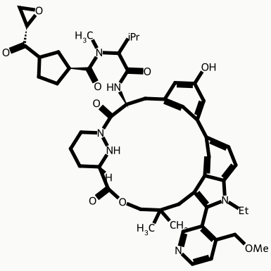 CCn1c(-c2cnccc2COC)c2c3cc(ccc31)-c1cc(O)cc(c1)C[C@H](NC(=O)C(C(C)C)N(C)C(=O)[C@H]1CCC(C(=O)[C@@H]3CO3)C1)C(=O)N1CCC[C@H](N1)C(=O)OCC(C)(C)C2